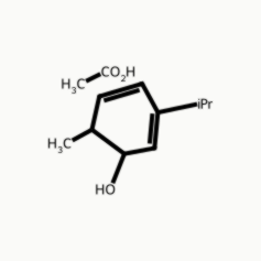 CC(=O)O.CC(C)C1=CC(O)C(C)C=C1